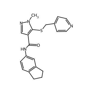 Cn1ncc(C(=O)Nc2ccc3c(c2)CCC3)c1SCc1ccncc1